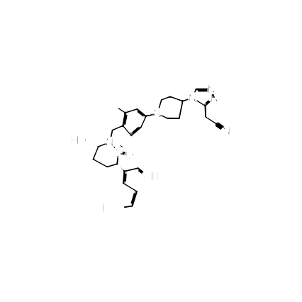 C=C/C(=C\C=C/C)[C@H]1CC[C@H](C)N(Cc2ccc(N3CCC(n4cnnc4CC#N)CC3)cc2F)S1(=O)=O